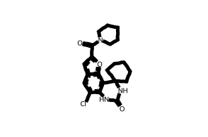 O=C1Nc2c(Cl)cc3cc(C(=O)N4CCCCC4)oc3c2C2(CCCCC2)N1